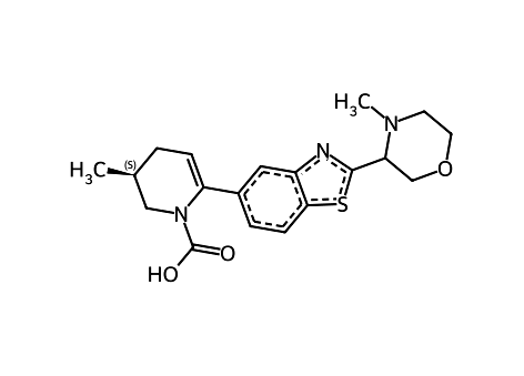 C[C@H]1CC=C(c2ccc3sc(C4COCCN4C)nc3c2)N(C(=O)O)C1